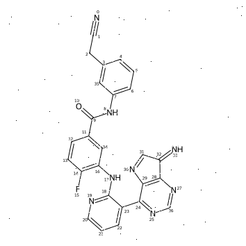 N#CCc1cccc(NC(=O)c2ccc(F)c(Nc3ncccc3-c3ncnc4c3N=CC4=N)c2)c1